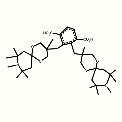 CN1C(C)(C)CC2(CC1(C)C)OCC(C)(Cc1c(C(=O)O)ccc(C(=O)O)c1CC1(C)COC3(CC(C)(C)N(C)C(C)(C)C3)OC1)CO2